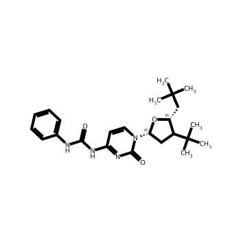 CC(C)(C)C[C@H]1O[C@@H](n2ccc(NC(=O)Nc3ccccc3)nc2=O)CC1C(C)(C)C